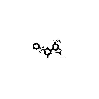 CC1(C)Cc2sc(N)nc2C(c2cc(S(=O)(=O)c3ccccc3)cc(Cl)n2)C1